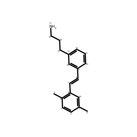 Cc1ccc(C)c(C=Cc2cccc(CCCN)c2)c1